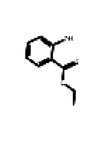 CCOC(=S)c1ccccc1O